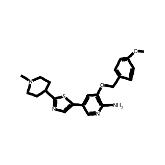 COc1ccc(COc2cc(-c3cnc(C4CCN(C)CC4)s3)cnc2N)cc1